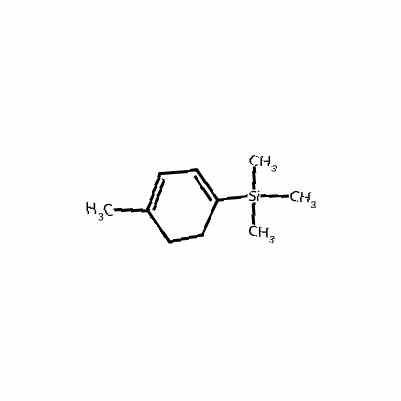 CC1=CC=C([Si](C)(C)C)CC1